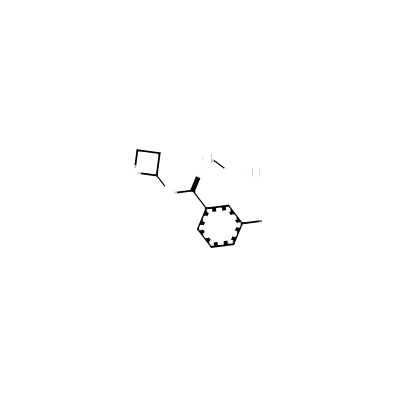 O=C(OC1CCO1)c1cccc(F)c1.O=S(=O)(O)Cl